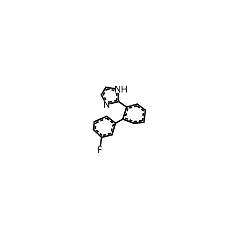 Fc1cccc(-c2ccccc2-c2ncc[nH]2)c1